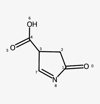 O=C1CC(C(=O)O)C=N1